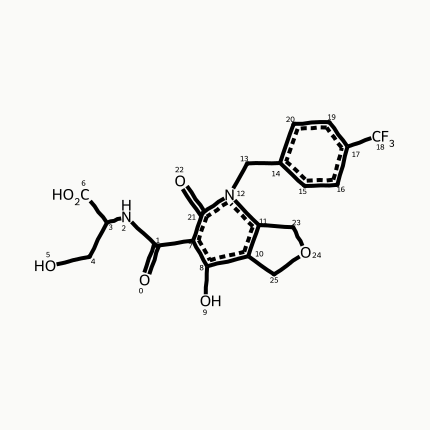 O=C(NC(CO)C(=O)O)c1c(O)c2c(n(Cc3ccc(C(F)(F)F)cc3)c1=O)COC2